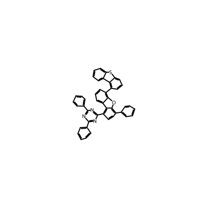 c1ccc(-c2nc(-c3ccccc3)nc(-c3ccc(-c4ccccc4)c4oc5c(-c6cccc7sc8ccccc8c67)cccc5c34)n2)cc1